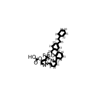 O=C(O)Oc1cnn(-c2cccc(-c3ccccc3OCc3ccc(CCc4ccccc4)cc3)n2)c1C(F)(F)F